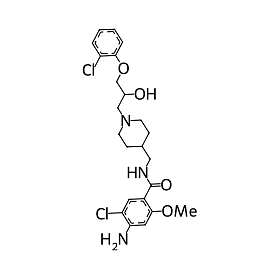 COc1cc(N)c(Cl)cc1C(=O)NCC1CCN(CC(O)COc2ccccc2Cl)CC1